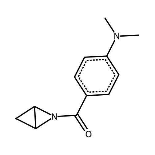 CN(C)c1ccc(C(=O)N2C3CC32)cc1